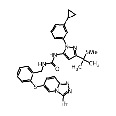 CSC(C)(C)c1cc(NC(=O)NCc2ccccc2Sc2ccc3nnc(C(C)C)n3c2)n(-c2cccc(C3CC3)c2)n1